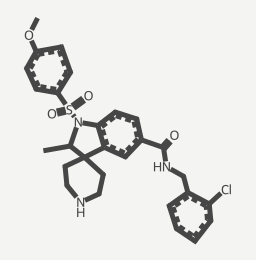 COc1ccc(S(=O)(=O)N2c3ccc(C(=O)NCc4ccccc4Cl)cc3C3(CCNCC3)C2C)cc1